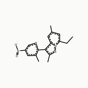 Cc1cc(CI)n2nc(C)c(-c3ncc([N+](=O)[O-])cc3C)c2c1